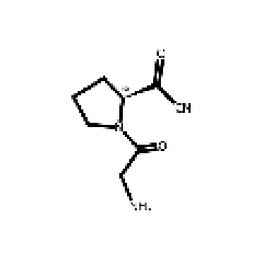 N#CC(=O)[C@@H]1CCCN1C(=O)CN